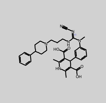 CC1=C(C(=O)O)C(c2cccc(N(C)/C(=N/C#N)NCCCN3CCC(c4ccccc4)CC3)c2)C(C(=O)O)=C(C)N1